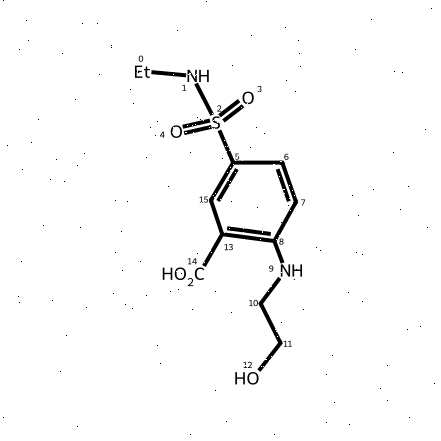 CCNS(=O)(=O)c1ccc(NCCO)c(C(=O)O)c1